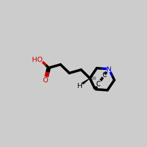 O=C(O)CCC[C@@H]1CN2CCC1CC2